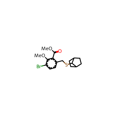 COC(=O)c1c(CSC2C3CCC2CC3)ccc(Br)c1OC